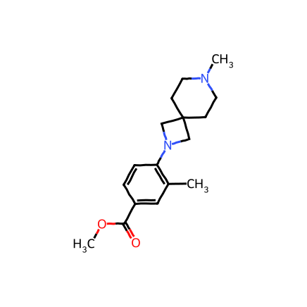 COC(=O)c1ccc(N2CC3(CCN(C)CC3)C2)c(C)c1